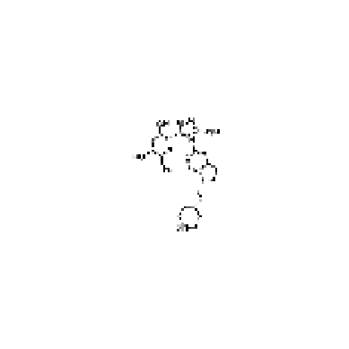 CC(C)c1cc(-c2nnc(O)n2-c2ccc3c(c2)C=CC3CCC2CCNCC2)c(O)cc1O